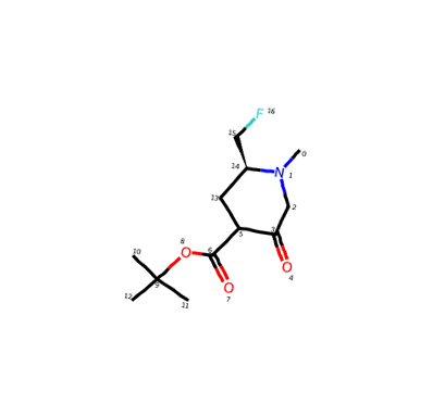 CN1CC(=O)C(C(=O)OC(C)(C)C)C[C@H]1CF